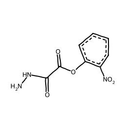 NNC(=O)C(=O)Oc1ccccc1[N+](=O)[O-]